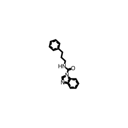 O=C(NCCCc1ccccc1)n1cnc2ccccc21